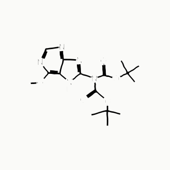 COc1ncnc2nc(N(C(=O)OC(C)(C)C)C(=O)OC(C)(C)C)[nH]c12